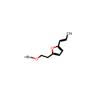 CCCCOCCc1ccc(/C=C/C#N)o1